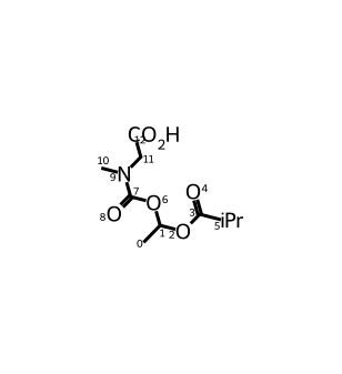 CC(OC(=O)C(C)C)OC(=O)N(C)CC(=O)O